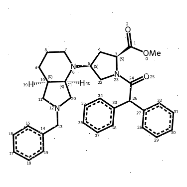 COC(=O)[C@@H]1C[C@H](N2CCC[C@@H]3CN(Cc4ccccc4)C[C@@H]32)CN1C(=O)C(c1ccccc1)c1ccccc1